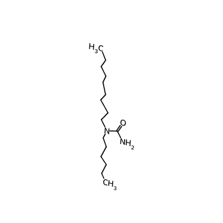 CCCCCCCCCN(CCCCCC)C(N)=O